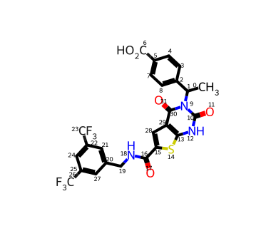 CC(c1ccc(C(=O)O)cc1)n1c(=O)[nH]c2sc(C(=O)NCc3cc(C(F)(F)F)cc(C(F)(F)F)c3)cc2c1=O